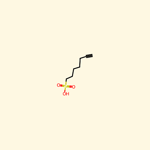 C#CCCCCCS(=O)(=O)O